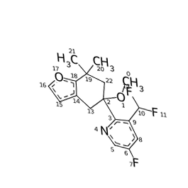 COC1(c2ncc(F)cc2C(F)F)Cc2ccoc2C(C)(C)C1